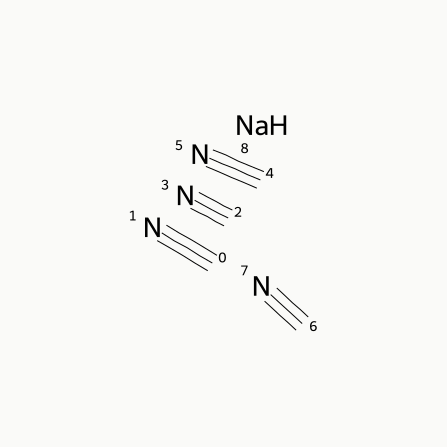 C#N.C#N.C#N.C#N.[NaH]